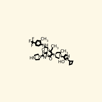 CCc1c(N2CCN(c3cnn(C4CCC4)c3O)[C@H](C)C2)c(=O)n2nc(N3CCNCC3)nc2n1CC(=O)Nc1ccc(C(F)(F)F)cc1C